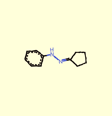 c1ccc(NN=C2CCCC2)cc1